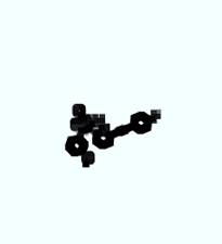 COc1cccc([C@H]2OC(=O)N[C@@H]2c2cccc(C#Cc3ccc(F)cc3)n2)c1